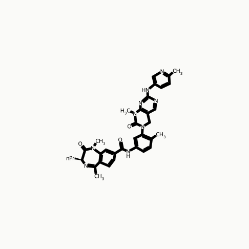 CCC[C@@H]1N=C(C)c2ccc(C(=O)Nc3ccc(C)c(N4Cc5cnc(Nc6ccc(C)nc6)nc5N(C)C4=O)c3)cc2N(C)C1=O